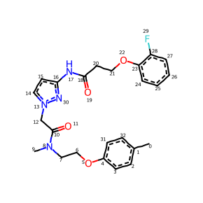 Cc1ccc(OCCN(C)C(=O)Cn2ccc(NC(=O)CCOc3ccccc3F)n2)cc1